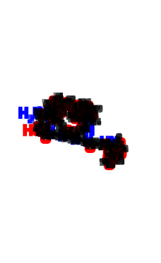 CC(=O)NC1C(OC(C)=O)[C@@H](OC(C)=O)C(COC(C)=O)O[C@H]1OCCCCC(=O)NCCCN(CCCN(CCCNC(=O)C(CO)OC(=O)CCC(N)=O)C(=O)CCCCO[C@@H]1OC(COC(C)=O)[C@H](OC(C)=O)C(OC(C)=O)[C@H]1NC(C)=O)C(=O)CCCCO[C@@H]1OC(COC(C)=O)[C@H](OC(C)=O)C(OC(C)=O)C1NC(C)=O